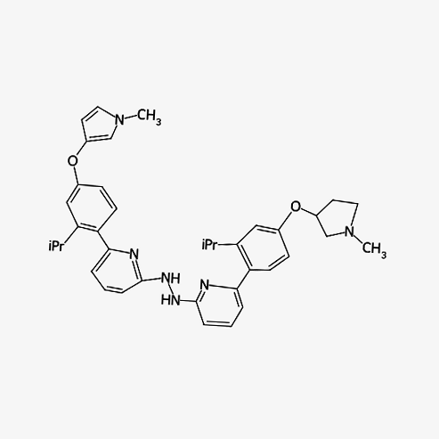 CC(C)c1cc(Oc2ccn(C)c2)ccc1-c1cccc(NNc2cccc(-c3ccc(OC4CCN(C)C4)cc3C(C)C)n2)n1